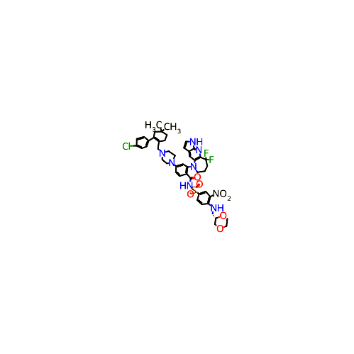 CC1(C)CCC(CN2CCN(c3ccc(C(=O)NS(=O)(=O)c4ccc(NC[C@H]5COCCO5)c([N+](=O)[O-])c4)c(N4CCCC(F)(F)c5nc6[nH]ccc6cc54)c3)CC2)=C(c2ccc(Cl)cc2)C1